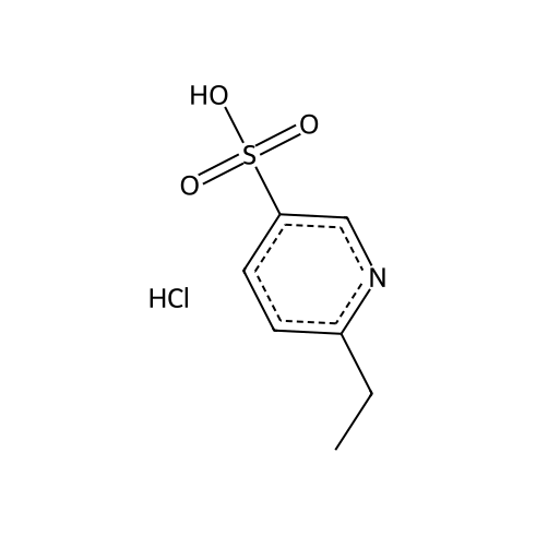 CCc1ccc(S(=O)(=O)O)cn1.Cl